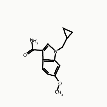 COc1ccc2c(C(N)=O)cn(CC3CC3)c2c1